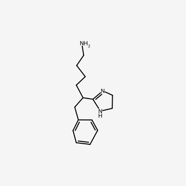 NCCCCC(Cc1ccccc1)C1=NCCN1